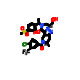 CC(c1ccc(S(C)(=O)=O)cc1)N1C[C@@H](CO)n2nc3c(c2C1O)CN(C(=O)c1ccc(Cl)c(C(F)(F)F)c1)[C@H](C)C3